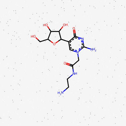 NCCNC(=O)Cn1cc(C2OC(CO)C(O)C2O)c(=O)nc1N